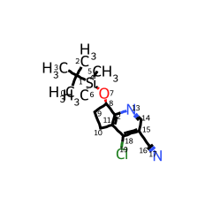 CC(C)(C)[Si](C)(C)O[C@@H]1CCc2c1ncc(C#N)c2Cl